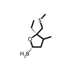 B[C@H]1CC(C)[C@](CC)(CSC)O1